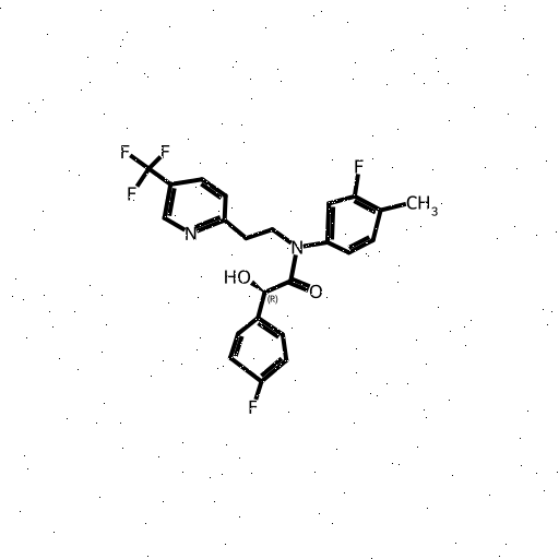 Cc1ccc(N(CCc2ccc(C(F)(F)F)cn2)C(=O)[C@H](O)c2ccc(F)cc2)cc1F